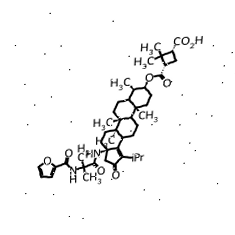 CC(C)C1=C2C3CCC4[C@@]5(C)CC[C@H](OC(=O)[C@H]6C[C@@H](C(=O)O)C6(C)C)[C@H](C)C5CC[C@@]4(C)[C@]3(C)CC[C@@]2(NC(=O)C(C)(C)NC(=O)c2ccco2)CC1=O